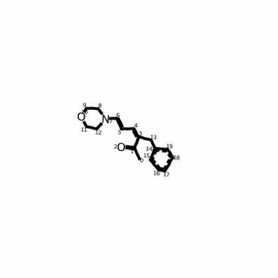 CC(=O)/C(=C\C=C\N1CCOCC1)Cc1ccccc1